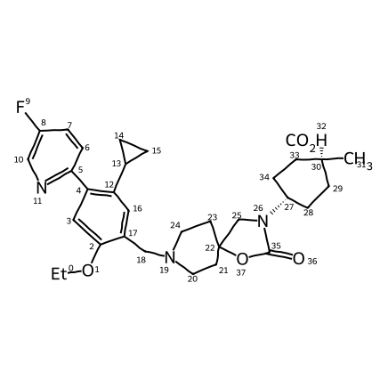 CCOc1cc(-c2ccc(F)cn2)c(C2CC2)cc1CN1CCC2(CC1)CN([C@H]1CC[C@@](C)(C(=O)O)CC1)C(=O)O2